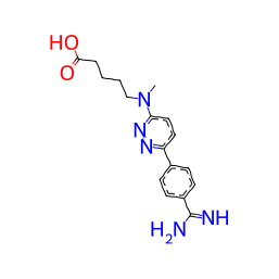 CN(CCCCC(=O)O)c1ccc(-c2ccc(C(=N)N)cc2)nn1